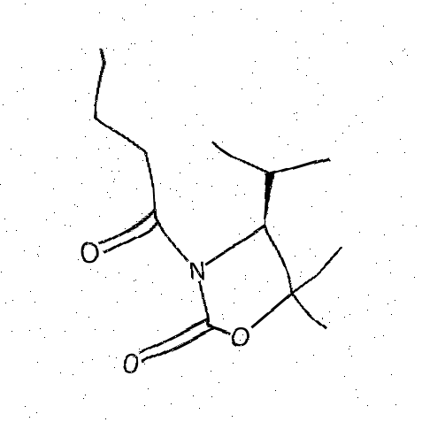 CCCC(=O)N1C(=O)OC(C)(C)[C@@H]1C(C)C